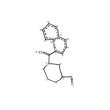 O=CC1CCCN(C(=O)c2cccc3ccccc23)C1